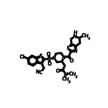 CC1Cc2nc(C(=O)N3CCN(S(=O)(=O)c4sc5cc(Cl)ccc5c4CC#N)CC3CC(=O)N(C)C)sc2CN1